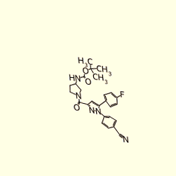 CC(C)(C)OC(=O)NC1CCN(C(=O)c2cc(-c3ccc(F)cc3)n(-c3ccc(C#N)cc3)n2)C1